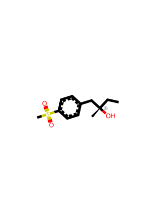 CC[C@](C)(O)Cc1ccc(S(C)(=O)=O)cc1